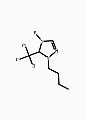 CCCCN1N=CN(F)C1C(Cl)(Cl)Cl